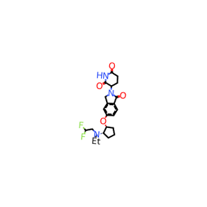 CCN(CC(F)F)[C@H]1CCC[C@@H]1Oc1ccc2c(c1)CN(C1CCC(=O)NC1=O)C2=O